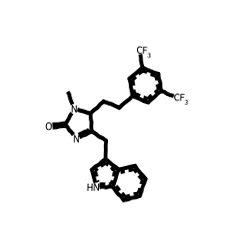 CN1C(=O)N=C(Cc2c[nH]c3ccccc23)C1CCc1cc(C(F)(F)F)cc(C(F)(F)F)c1